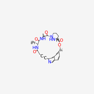 CC(C)C1NC(=O)CCCc2cc3cc(ccc3cn2)[C@@H](C)OC(=O)[C@@H]2CCCN(N2)C(=O)[C@H](C)NC1=O